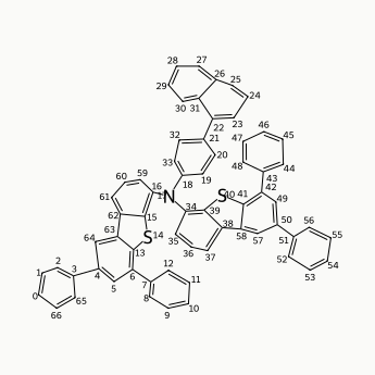 c1ccc(-c2cc(-c3ccccc3)c3sc4c(N(c5ccc(-c6cccc7ccccc67)cc5)c5cccc6c5sc5c(-c7ccccc7)cc(-c7ccccc7)cc56)cccc4c3c2)cc1